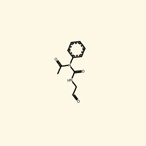 CC(=O)N(C(=O)NC[C]=O)c1ccccc1